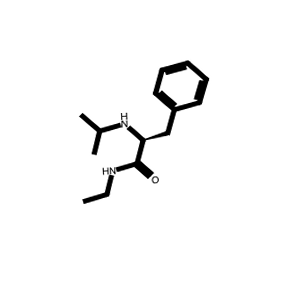 CCNC(=O)[C@H](Cc1ccccc1)NC(C)C